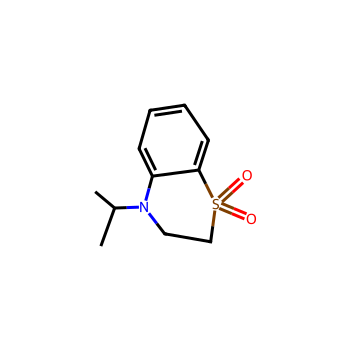 CC(C)N1CCS(=O)(=O)c2ccccc21